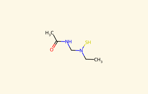 CCN(S)CNC(C)=O